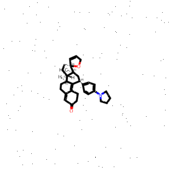 C[C@]12C[C@H](c3ccc(N4CCCC4)cc3)C3=C4CCC(=O)C=C4CC[C@H]3[C@@H]1CC[C@@]21C=CCO1